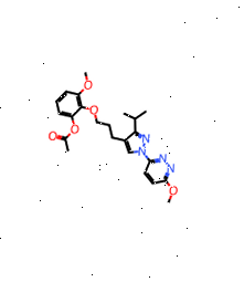 COc1ccc(-n2cc(CCCOc3c(OC)cccc3OC(C)=O)c(C(C)C)n2)nn1